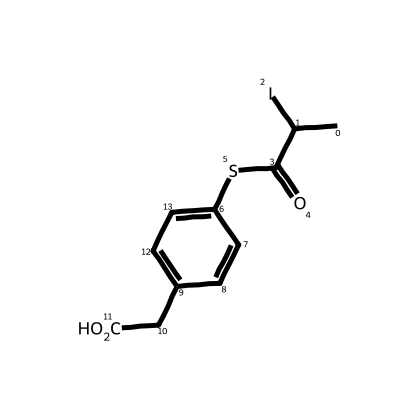 CC(I)C(=O)Sc1ccc(CC(=O)O)cc1